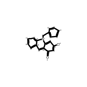 O=c1cc(Cl)cc2n(Cc3ccccc3)c3ccccc3cc1-2